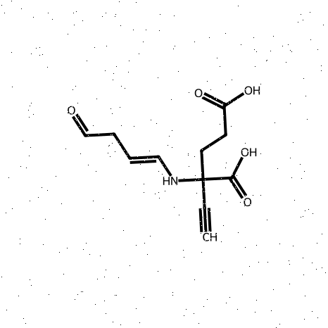 C#CC(CCC(=O)O)(NC=CCC=O)C(=O)O